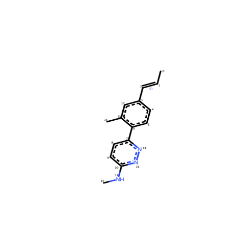 C/C=C/c1ccc(-c2ccc(NC)nn2)c(C)c1